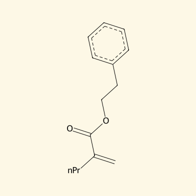 C=C(CCC)C(=O)OCCc1ccccc1